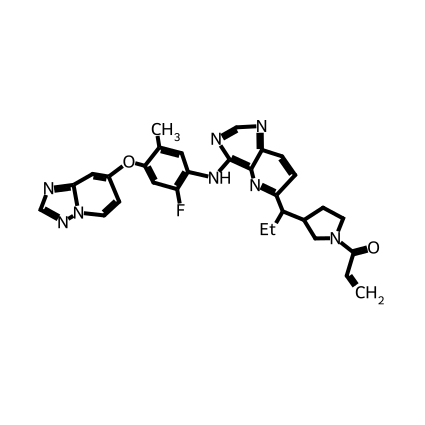 C=CC(=O)N1CCC(C(CC)c2ccc3ncnc(Nc4cc(C)c(Oc5ccn6ncnc6c5)cc4F)c3n2)C1